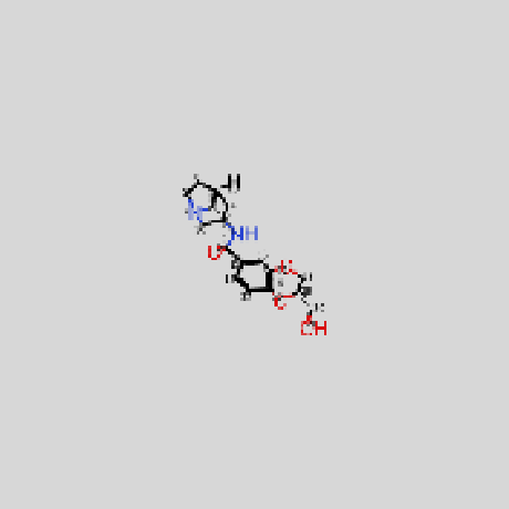 O=C(N[C@@H]1C[C@H]2CCN(C2)C1)c1ccc2c(c1)OC[C@H](CO)O2